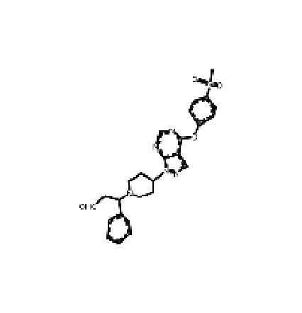 CS(=O)(=O)c1ccc(Oc2ncnc3c2cnn3C2CCN(C(CC=O)c3ccccc3)CC2)cc1